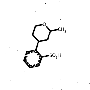 CC1CC(c2ccccc2S(=O)(=O)O)CCO1